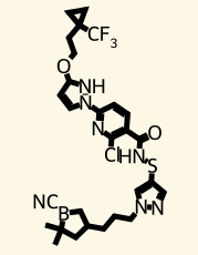 CC1(C)CC(CCCn2cc(SNC(=O)c3ccc(N4C=CC(OCCC5(C(F)(F)F)CC5)N4)nc3Cl)cn2)CB1C#N